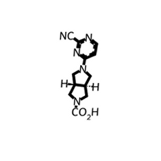 N#Cc1nccc(N2C[C@H]3CN(C(=O)O)C[C@@H]3C2)n1